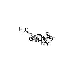 C=CC[S+]([O-])N1C=Cn2c(nc(=O)n2[N+](=O)[O-])N1